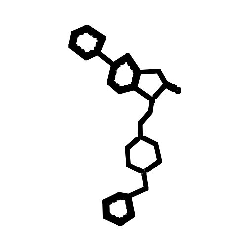 O=C1Cc2cc(-c3ccccc3)ccc2N1CCN1CCN(Cc2ccccc2)CC1